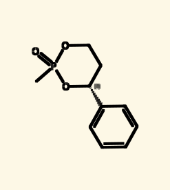 CP1(=O)OCC[C@H](c2ccccc2)O1